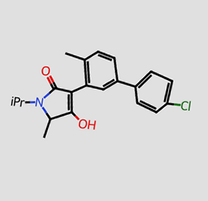 Cc1ccc(-c2ccc(Cl)cc2)cc1C1=C(O)C(C)N(C(C)C)C1=O